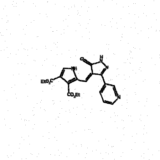 CCOC(=O)c1c[nH]c(C=C2C(=O)NN=C2c2cccnc2)c1C(=O)OCC